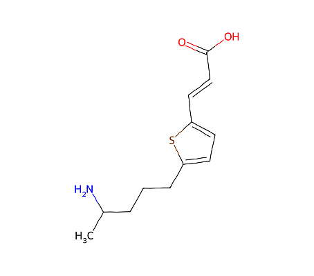 CC(N)CCCc1ccc(/C=C/C(=O)O)s1